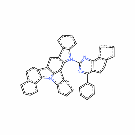 c1ccc(-c2nc(-n3c4ccccc4c4cc5c6ccc7ccccc7c6n6c7ccccc7c(c43)c56)nc3c2ccc2ccccc23)cc1